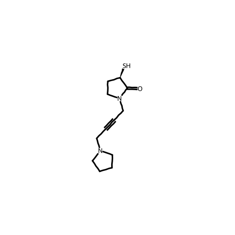 O=C1[C@H](S)CCN1CC#CCN1CCCC1